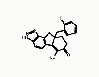 CC1=C2c3ccc4[nH]nnc4c3CC2(Cc2ccccc2F)CCC1=O